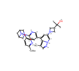 COc1ccc(CN2C3CC2CN(c2ccc(-c4cc(N5CC(C(C)(C)O)C5)cn5ncc(C#N)c45)cn2)C3)cn1